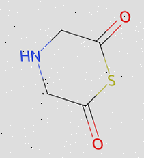 O=C1[CH]NCC(=O)S1